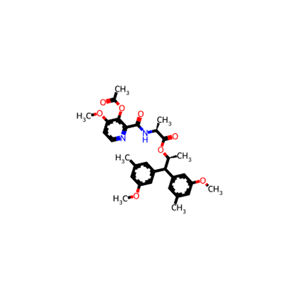 COc1cc(C)cc(C(c2cc(C)cc(OC)c2)[C@H](C)OC(=O)[C@H](C)NC(=O)c2nccc(OC)c2OC(C)=O)c1